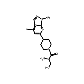 Cc1cc(C2CCN(C(=O)C(N)CO)CC2)nc2c1cnn2C(C)C